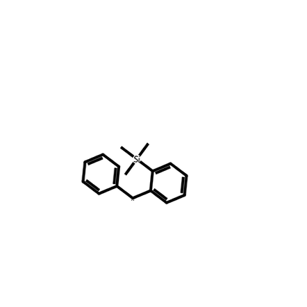 C[Si](C)(C)c1ccccc1[C]c1ccccc1